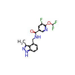 Cc1n[nH]c2cccc(CNC(=O)c3cnc(OC(F)F)c(F)c3)c12